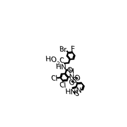 O=C(N[C@@H](Cc1ccc(F)c(Br)c1)C(=O)O)c1cc(Cl)c(Cl)cc1NS(=O)(=O)C1=CC=CN2SNC=C12